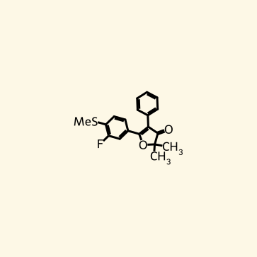 CSc1ccc(C2=C(c3ccccc3)C(=O)C(C)(C)O2)cc1F